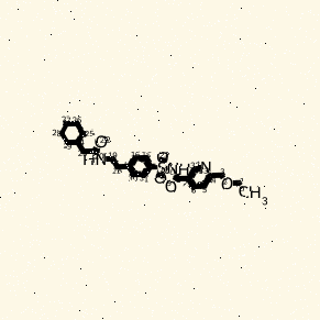 CCOCc1ccc(C(=O)NS(=O)(=O)c2ccc(CCNC(=O)CC3CCCCC3)cc2)cn1